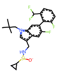 CC(C)(C)Cn1cc(CN[S+]([O-])C2CC2)c2cc(F)c(-c3c(F)cccc3C(F)F)cc21